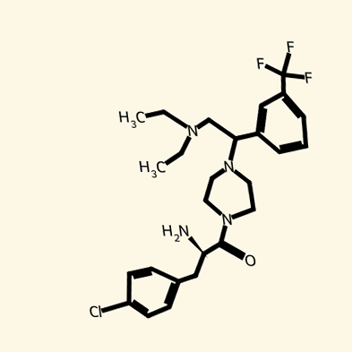 CCN(CC)CC(c1cccc(C(F)(F)F)c1)N1CCN(C(=O)[C@H](N)Cc2ccc(Cl)cc2)CC1